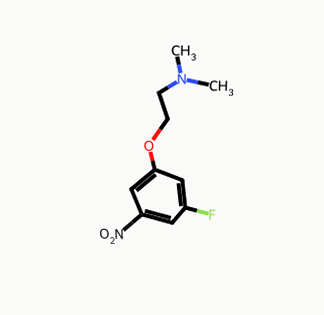 CN(C)CCOc1cc(F)cc([N+](=O)[O-])c1